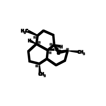 C[C@@H]1CC[C@H]2[C@@H](C)CC[C@@H]3O[C@]4(C)CCC1[C@]32OO4